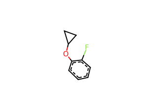 Fc1ccccc1OC1CC1